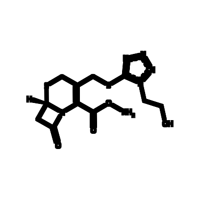 NOC(=O)C1=C(CSc2nnnn2CCO)CS[C@H]2CC(=O)N12